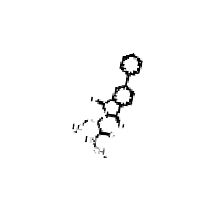 CC[C@@H](C(=O)NC)N1C(=O)c2ccc(-c3ccccc3)cc2C1=O